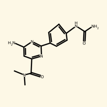 CN(C)C(=O)c1cc(N)nc(-c2ccc(NC(N)=O)cc2)n1